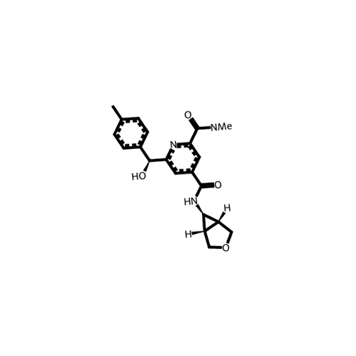 CNC(=O)c1cc(C(=O)N[C@H]2[C@@H]3COC[C@@H]32)cc([C@@H](O)c2ccc(C)cc2)n1